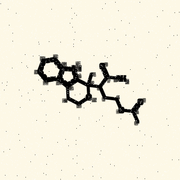 CC(=O)OCCC(C(N)=O)C1(C)OCCc2c1[nH]c1ccccc21